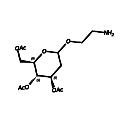 CC(=O)OC[C@H]1OC(OCCN)C[C@@H](OC(C)=O)[C@@H]1OC(C)=O